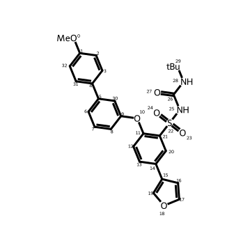 COc1ccc(-c2cccc(Oc3ccc(-c4ccoc4)cc3S(=O)(=O)NC(=O)NC(C)(C)C)c2)cc1